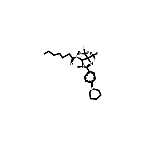 CCCCCCC(=O)N(C)C1N(C)C(c2ccc(N3CCCCC3)cc2)=NC1(C(F)(F)F)C(F)(F)F